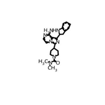 CN(C)C(=O)N1CCC(c2nc(C3Cc4ccccc4N3)c3c(N)nccn23)CC1